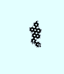 Cc1ccc(-c2c3ccccc3c(-c3ccc(C4C=CN=C(c5ccncc5)C4)c4ccccc34)c3ccccc23)cc1